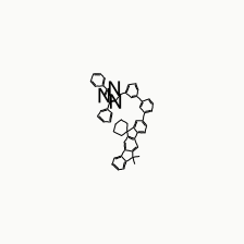 CC1(C)c2ccccc2-c2cc3c(cc21)-c1ccc(-c2cccc(-c4cccc(-c5nc(-c6ccccc6)nc(-c6ccccc6)n5)c4)c2)cc1C31CCCCC1